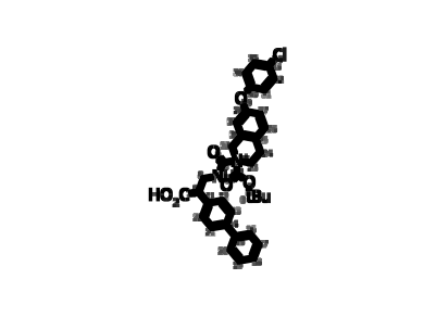 CC(C)(C)OC(=O)[N+]1(C(=O)NCC(C(=O)O)c2ccc(-c3ccccc3)cc2)CCc2ccc(Oc3ccc(Cl)cc3)cc2C1